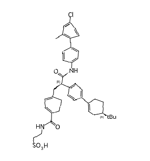 Cc1cc(Cl)ccc1-c1ccc(NC(=O)[C@H](CC2=CC=C(C(=O)NCCS(=O)(=O)O)CC2)c2ccc(C3=CC[C@H](C(C)(C)C)CC3)cc2)cc1